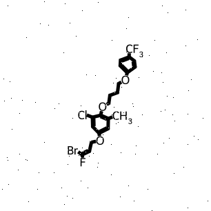 Cc1cc(OCC=C(F)Br)cc(Cl)c1OCCCCOc1ccc(C(F)(F)F)cc1